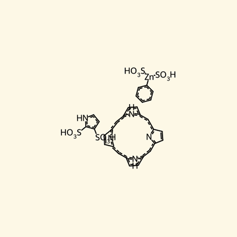 C1=Cc2cc3ccc(cc4nc(cc5ccc(cc1n2)[nH]5)C=C4)[nH]3.O=S(=O)(O)c1cc[nH]c1S(=O)(=O)O.O=[S](=O)(O)[Zn]([c]1ccccc1)[S](=O)(=O)O